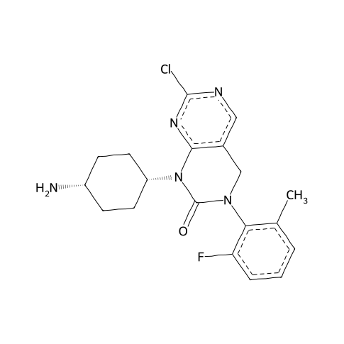 Cc1cccc(F)c1N1Cc2cnc(Cl)nc2N([C@H]2CC[C@@H](N)CC2)C1=O